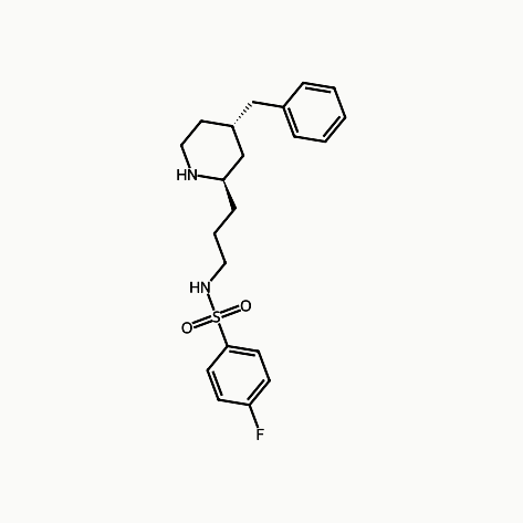 O=S(=O)(NCCC[C@@H]1C[C@@H](Cc2ccccc2)CCN1)c1ccc(F)cc1